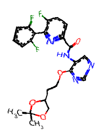 CC1(C)OCC(CCOc2ncncc2NC(=O)c2ccc(F)c(-c3c(F)cccc3F)n2)O1